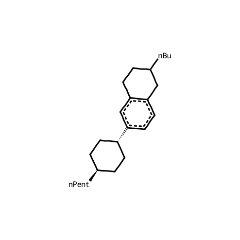 CCCCC[C@H]1CC[C@H](c2ccc3c(c2)CCC(CCCC)C3)CC1